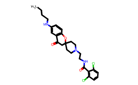 CCCCNc1ccc2c(c1)C(=O)CC1(CCN(CCNC(=O)c3c(Cl)cccc3Cl)CC1)O2